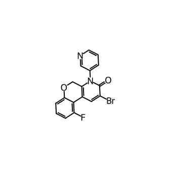 O=c1c(Br)cc2c(n1-c1cccnc1)COc1cccc(F)c1-2